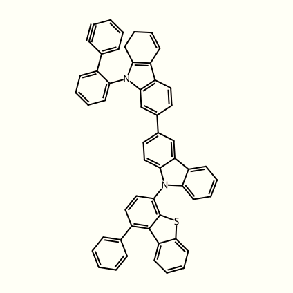 c1cccc(-c2ccccc2-n2c3c(c4ccc(-c5ccc6c(c5)c5ccccc5n6-c5ccc(-c6ccccc6)c6c5sc5ccccc56)cc42)C=CCC3)c#1